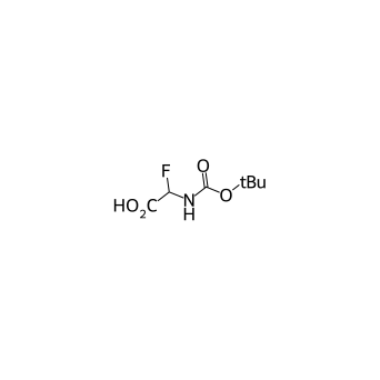 CC(C)(C)OC(=O)NC(F)C(=O)O